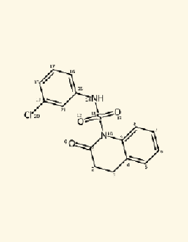 O=C1CCc2ccccc2N1S(=O)(=O)Nc1cccc(Cl)c1